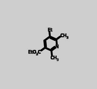 CCOC(=O)c1cc(CC)c(C)nc1C